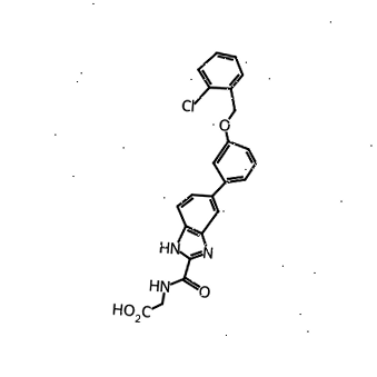 O=C(O)CNC(=O)c1nc2cc(-c3cccc(OCc4ccccc4Cl)c3)ccc2[nH]1